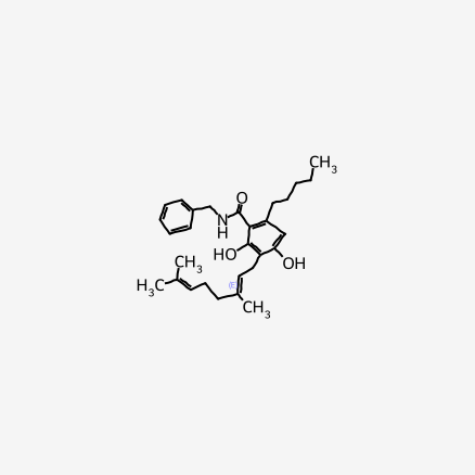 CCCCCc1cc(O)c(C/C=C(\C)CCC=C(C)C)c(O)c1C(=O)NCc1ccccc1